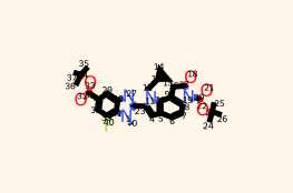 Cn1c(-c2cc3ccc4c(c3n2CC2CC2)CC(=O)N4C(=O)OC(C)(C)C)nc2cc(C(=O)OC(C)(C)C)cc(F)c21